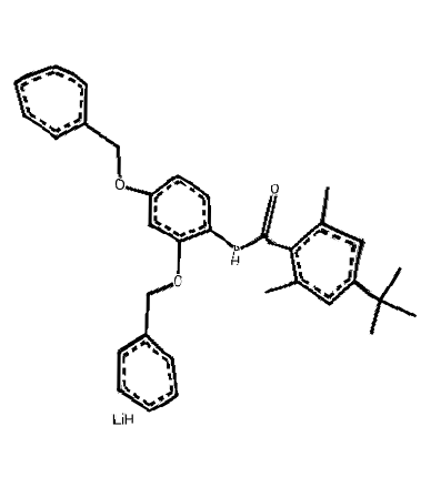 Cc1cc(C(C)(C)C)cc(C)c1C(=O)Pc1ccc(OCc2ccccc2)cc1OCc1ccccc1.[LiH]